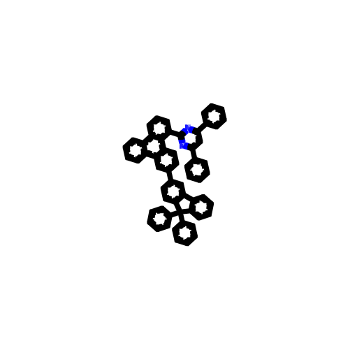 c1ccc(-c2cc(-c3ccccc3)nc(-c3cccc4c5ccccc5c5cc(-c6ccc7c(c6)-c6ccccc6C7(c6ccccc6)c6ccccc6)ccc5c34)n2)cc1